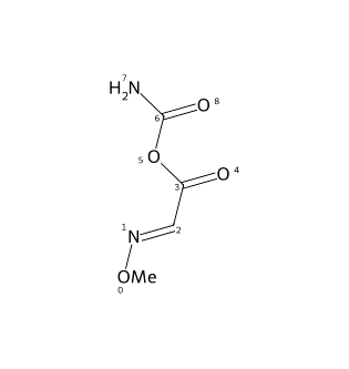 CON=CC(=O)OC(N)=O